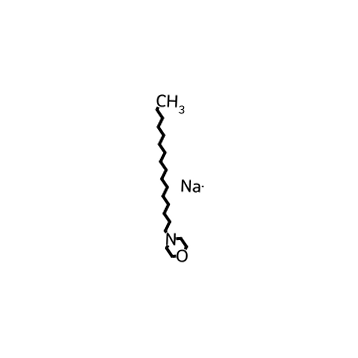 CCCCCCCCCCCCCCCCN1CCOCC1.[Na]